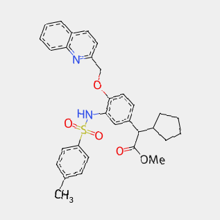 COC(=O)C(c1ccc(OCc2ccc3ccccc3n2)c(NS(=O)(=O)c2ccc(C)cc2)c1)C1CCCC1